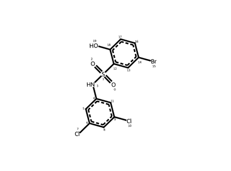 O=S(=O)(Nc1cc(Cl)cc(Cl)c1)c1cc(Br)ccc1O